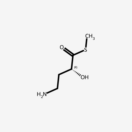 CSC(=O)[C@H](O)CCN